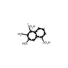 Nc1c(O)cc2c(S(=O)(=O)O)cccc2c1S(=O)(=O)O